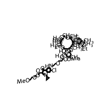 CCC(=O)O[C@H]1C(O[C@@H]2[C@@H](C)[C@H](OC3C[C@](C)(OC)[C@@H](OC(=O)CCOCCNc4cc5c(=O)c(C(=O)OCOCCOC)cn(C6CC6)c5cc4Cl)[C@H](C)O3)[C@@H](C)C(=O)O[C@H](CC)[C@@](C)(O)[C@H](O)[C@@H](C)N(C)C[C@H](C)C[C@@]2(C)O)O[C@H](C)C[C@@H]1N(C)C